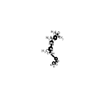 Cc1cc(-c2ncc(N(C)c3ccc4c(c3)n(C)c(=O)n4C)cn2)cnc1C(=O)NCC#Cc1ccc2occ(C3CCC(=O)NC3=O)c2c1